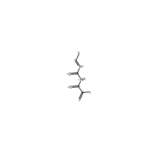 C=C(C)C(=O)NC(=O)N=CC